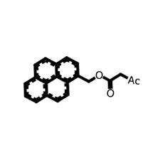 CC(=O)CC(=O)OCc1ccc2ccc3cccc4ccc1c2c34